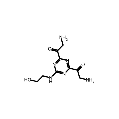 NCC(=O)c1nc(NCCO)nc(C(=O)CN)n1